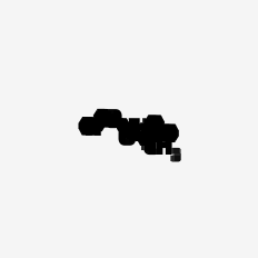 CN(CCCNC(=O)NCCCOc1cccc(CN2CCCCC2)c1)CCC(c1ccccc1)c1ccccn1